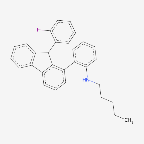 CCCCCNc1ccccc1-c1cccc2c1C(c1ccccc1I)c1ccccc1-2